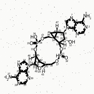 Nc1ncnc2c1ncn2[C@H]1[C@H](O)[C@@H]2O[PH](=O)OC[C@H]3O[C@@H](n4cnc5c(N)ncnc54)[C@H](OP(=O)(O)OC[C@]24C[C@H]14)[C@@H]3O